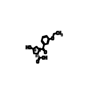 CCOc1cccc(C(=O)N2C[C@H](O)C[C@H]2C(=O)O)c1